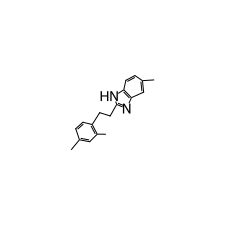 Cc1ccc(CCc2nc3cc(C)ccc3[nH]2)c(C)c1